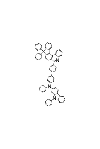 c1ccc(N(c2ccc(-c3ccc(-c4nc5ccccc5c5c6c(ccc45)C(c4ccccc4)(c4ccccc4)c4ccccc4-6)cc3)cc2)c2ccc3c4ccccc4n(-c4ccccc4)c3c2)cc1